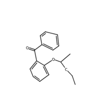 CCCC(C)Oc1ccccc1C(=O)c1ccccc1